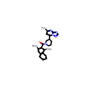 COc1cc2ccccc2c(C=O)c1C(=O)N1CCCC(c2cc(C)nc3ncnn23)C1